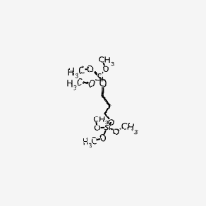 CO[Si](OC)(OC)OCCCO[Si](OC)(OC)OC